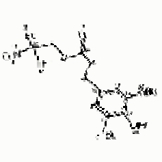 CCCCc1cc(CCC(=O)OCC(CC)(CCC)[N+](=O)[O-])cc(CCCC)c1O